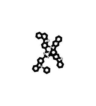 c1ccc(-n2c3ccccc3c3ccc(-c4nc(-c5ccc6oc7ccccc7c6c5)nc(-c5ccc6c(oc7ccc8ccccc8c76)c5-n5c6ccccc6c6cc7ccccc7cc65)n4)cc32)cc1